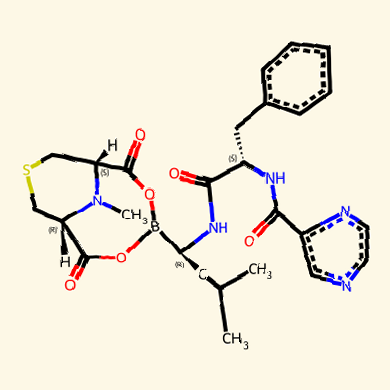 CC(C)C[C@H](NC(=O)[C@H](Cc1ccccc1)NC(=O)c1cnccn1)B1OC(=O)[C@H]2CSC[C@@H](C(=O)O1)N2C